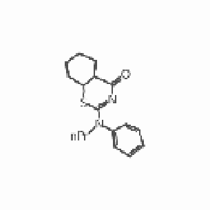 CCCN(C1=NC(=O)C2CCCCC2S1)c1ccccc1